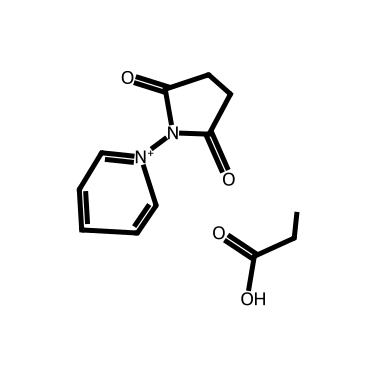 CCC(=O)O.O=C1CCC(=O)N1[n+]1ccccc1